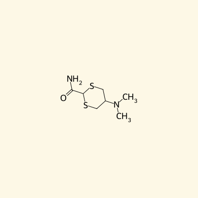 CN(C)C1CSC(C(N)=O)SC1